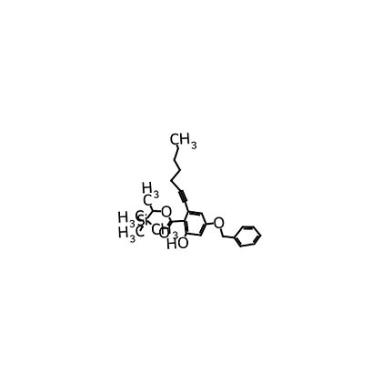 CCCCCC#Cc1cc(OCc2ccccc2)cc(O)c1C(=O)OC(C)[Si](C)(C)C